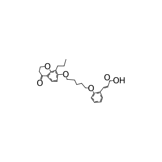 CCCc1c(OCCCCCOc2ccccc2/C=C/C(=O)O)ccc2c1OCCC2=O